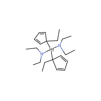 CC[N](CC)[Hf]([N](CC)CC)([C]1(CC)C=CC=C1)[C]1(CC)C=CC=C1